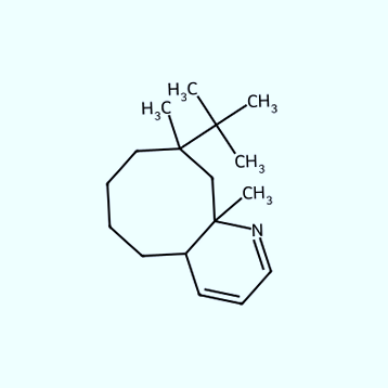 CC12CC(C)(C(C)(C)C)CCCCC1C=CC=N2